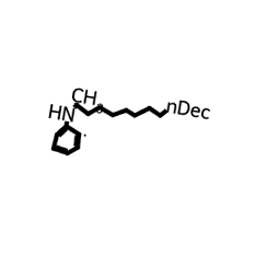 CCCCCCCCCCCCCCCCCC(C)Nc1[c]cccc1